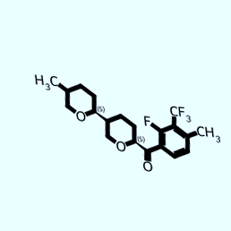 Cc1ccc(C(=O)[C@@H]2CCC([C@@H]3CCC(C)CO3)CO2)c(F)c1C(F)(F)F